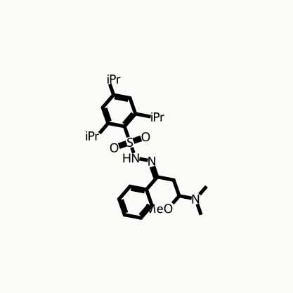 COC(CC(=NNS(=O)(=O)c1c(C(C)C)cc(C(C)C)cc1C(C)C)c1ccccc1)N(C)C